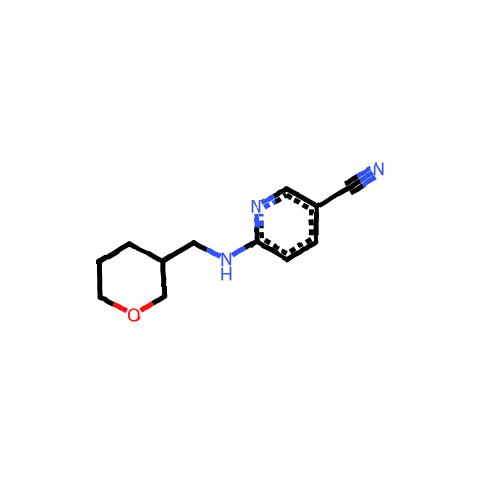 N#Cc1ccc(NCC2CCCOC2)nc1